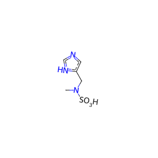 CN(Cc1cnc[nH]1)S(=O)(=O)O